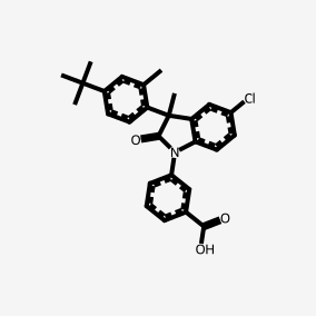 Cc1cc(C(C)(C)C)ccc1C1(C)C(=O)N(c2cccc(C(=O)O)c2)c2ccc(Cl)cc21